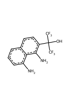 Nc1cccc2ccc(C(O)(C(F)(F)F)C(F)(F)F)c(N)c12